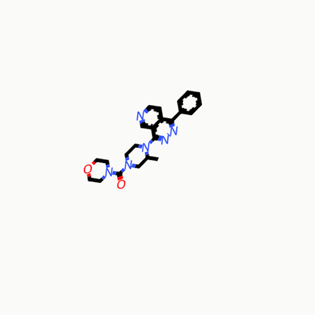 CC1CN(C(=O)N2CCOCC2)CCN1c1nnc(-c2ccccc2)c2ccncc12